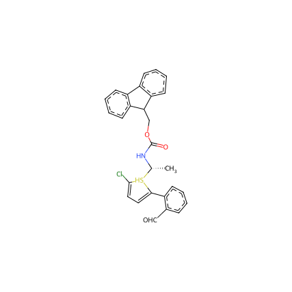 C[C@@H](NC(=O)OCC1c2ccccc2-c2ccccc21)[SH]1C(Cl)=CC=C1c1ccccc1C=O